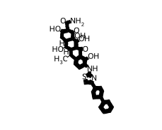 C[C@H]1c2ccc(Nc3nc(-c4ccc(-c5ccccc5)cc4)cs3)c(O)c2C(=O)C2=C(O)[C@]3(O)C(=O)C(C(N)=O)=C(O)C[C@@H]3[C@@H](O)[C@@H]21